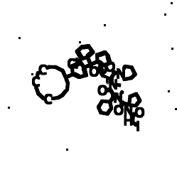 CN(C(=O)C1(NC(=O)CI)CCCC1)[C@H](C(=O)N(C)[C@@H](CC(=O)OC(c1ccccc1)(c1ccc(C2CCCCCCCCCCCCCC2)cc1)c1ccccc1Cl)C(=O)N1CCCCC1)C1CCCCC1